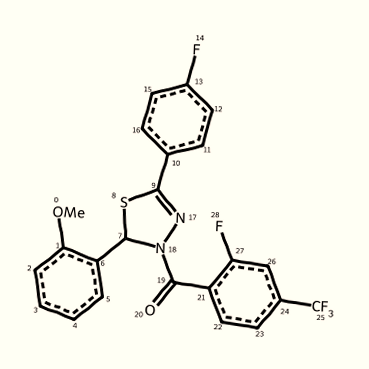 COc1ccccc1C1SC(c2ccc(F)cc2)=NN1C(=O)c1ccc(C(F)(F)F)cc1F